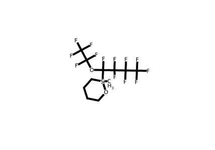 C[Si]1(C(F)(OC(F)(F)C(F)(F)F)C(F)(F)C(F)(F)C(F)(F)F)CCCCO1